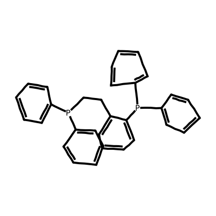 c1ccc(P(CCc2ccccc2P(c2ccccc2)c2ccccc2)c2ccccc2)cc1